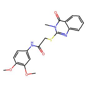 COc1ccc(NC(=O)CSc2nc3ccccc3c(=O)n2C)cc1OC